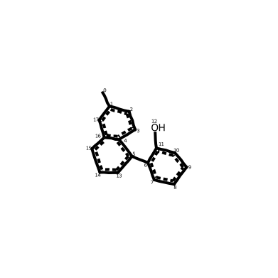 Cc1ccc2c(-c3ccccc3O)cccc2c1